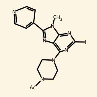 CC(=O)N1CCN(c2nc(I)nc3c2nc(-c2ccncc2)n3C)CC1